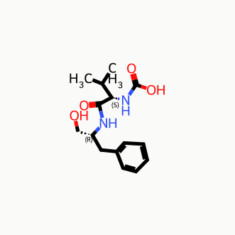 CC(C)[C@H](NC(=O)O)C(=O)N[C@@H](CO)Cc1ccccc1